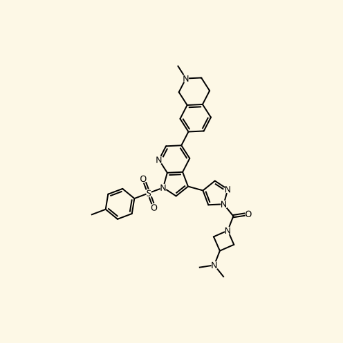 Cc1ccc(S(=O)(=O)n2cc(-c3cnn(C(=O)N4CC(N(C)C)C4)c3)c3cc(-c4ccc5c(c4)CN(C)CC5)cnc32)cc1